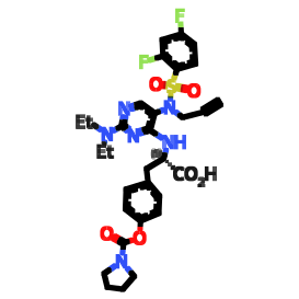 C#CCN(c1cnc(N(CC)CC)nc1N[C@@H](Cc1ccc(OC(=O)N2CCCC2)cc1)C(=O)O)S(=O)(=O)c1ccc(F)cc1F